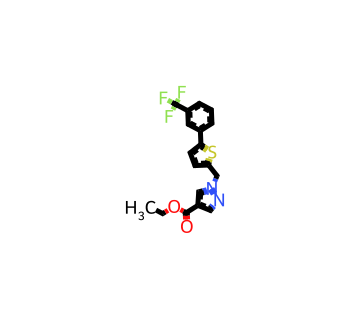 CCOC(=O)c1cnn(Cc2ccc(-c3cccc(C(F)(F)F)c3)s2)c1